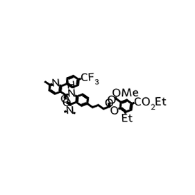 CCOC(=O)c1cc(CC)c(OC(=O)CCCc2ccc(NC(=O)c3ccc(C)nc3-c3ccc(C(F)(F)F)cc3)c(C(=O)N(C)C)c2)c(C(=O)OC)c1